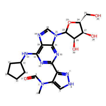 CN(C=O)c1c[nH]nc1-c1nc(NC2CCCC2)c2ncn(C3O[C@H](CO)[C@@H](O)[C@H]3O)c2n1